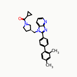 Cc1ccc(-c2ccc(-c3nc4ncccc4n3C[C@H]3CCN(C(=O)C4CC4)C3)cc2)c(C)c1